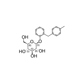 Cc1ccc(Cc2ccccc2O[C@@H]2O[C@H](CO)[C@@H](O)[C@H](O)[C@H]2O)cc1